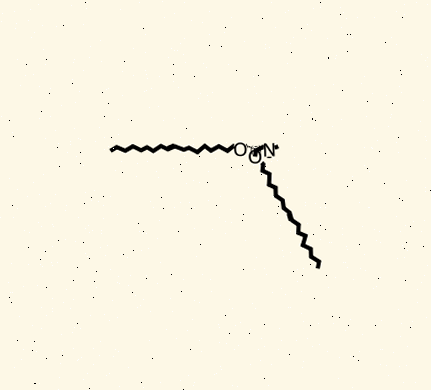 CCCCCCCCC=CCCCCCCCCOC[C@H](CN(C)C)OCCCCCCCCC=CCCCCCCCC